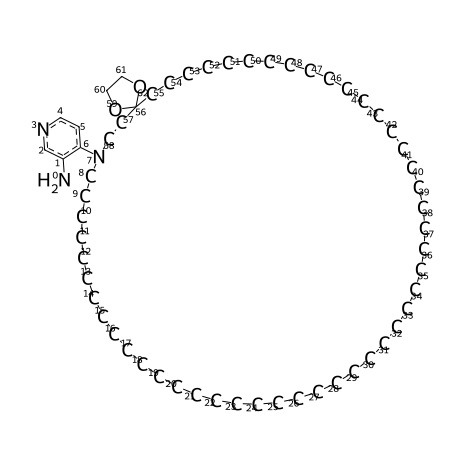 Nc1cnccc1N1CCCCCCCCCCCCCCCCCCCCCCCCCCCCCCCCCCCCCCCCCCCCCCCCC2(CC1)OCCO2